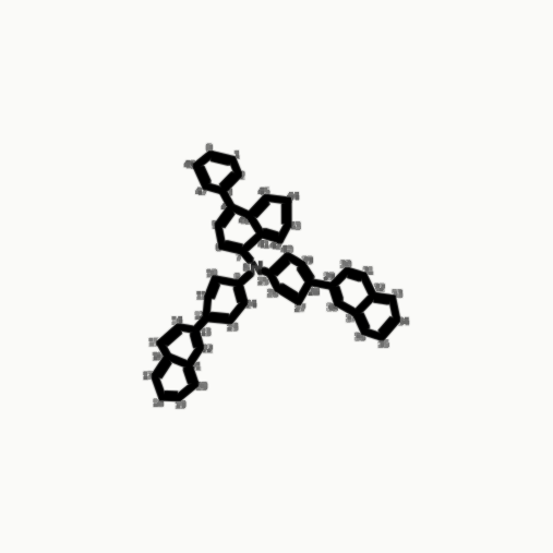 c1ccc(-c2ccc(N(c3ccc(-c4ccc5ccccc5c4)cc3)c3ccc(-c4ccc5ccccc5c4)cc3)c3ccccc23)cc1